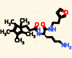 CC1=C(C)C(C)(CCC(=O)N[C@@H](CCCCN)C(=O)NCCc2ccoc2)C(C)=C1C